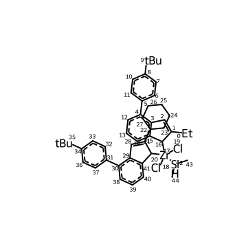 CCC1=Cc2c(-c3ccc(C(C)(C)C)cc3)cccc2[CH]1[Zr]([Cl])([Cl])([CH]1C(C2CCCCC2)=Cc2c(-c3ccc(C(C)(C)C)cc3)cccc21)[SiH](C)C